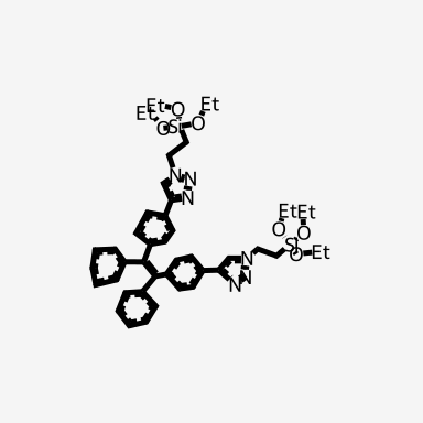 CCO[Si](CCn1cc(-c2ccc(C(=C(c3ccccc3)c3ccc(-c4cn(CC[Si](OCC)(OCC)OCC)nn4)cc3)c3ccccc3)cc2)nn1)(OCC)OCC